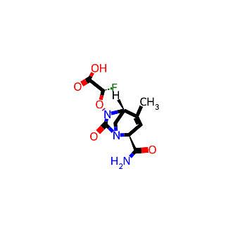 CC1=C[C@@H](C(N)=O)N2C[C@@H]1N(O[C@@H](F)C(=O)O)C2=O